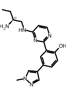 CC[C@H](N)CNc1ccnc(-c2cc(-c3cnn(C)c3)ccc2O)n1